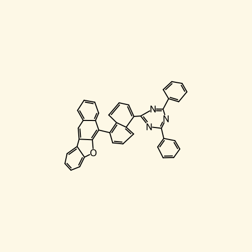 c1ccc(-c2nc(-c3ccccc3)nc(-c3cccc4c(-c5c6ccccc6cc6c5oc5ccccc56)cccc34)n2)cc1